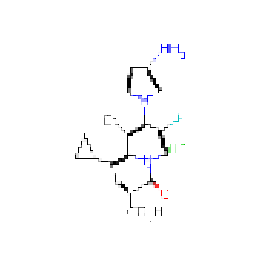 CCc1c(-n2ccc(N)c2)c(F)cn2c(=O)c(C(=O)O)cc(C3CC3)c12.Cl